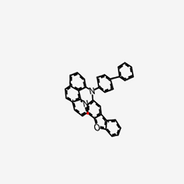 c1ccc(-c2ccc(N(c3ccc4oc5ccccc5c4c3)c3cccc4ccc5cccnc5c34)cc2)cc1